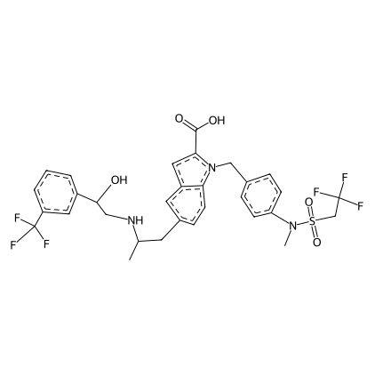 CC(Cc1ccc2c(c1)cc(C(=O)O)n2Cc1ccc(N(C)S(=O)(=O)CC(F)(F)F)cc1)NCC(O)c1cccc(C(F)(F)F)c1